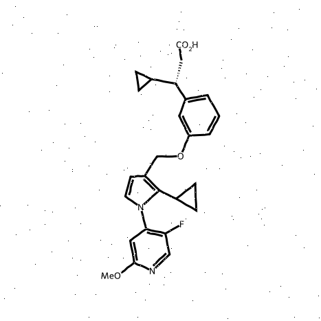 COc1cc(-n2ccc(COc3cccc([C@@H](CC(=O)O)C4CC4)c3)c2C2CC2)c(F)cn1